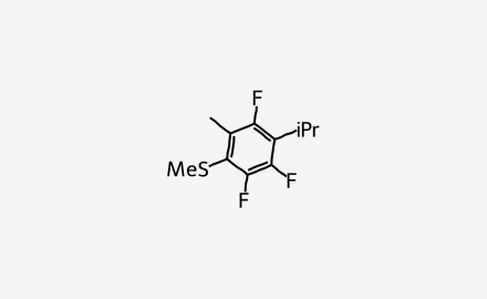 CSc1c(C)c(F)c(C(C)C)c(F)c1F